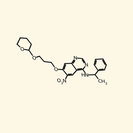 CC(Nc1ncnc2cc(OCCCOC3CCCCO3)c([N+](=O)[O-])cc12)c1ccccc1